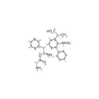 CC(=O)Nc1c(-c2ccccc2)cccc1C(C)C(=O)O.NCC(=O)O[C@H](N)Cc1ccccc1